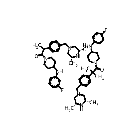 CC(C(=O)N1CCC(Nc2cccc(F)c2)CC1)c1ccc(CN2C[C@@H](C)N[C@@H](C)C2)cc1.C[C@@H]1CN(Cc2ccc(C(C)(C)C(=O)N3CCC(Nc4ccc(F)cc4)CC3)cc2)C[C@H](C)N1